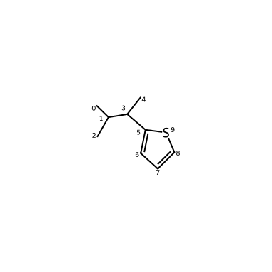 CC(C)C(C)c1cccs1